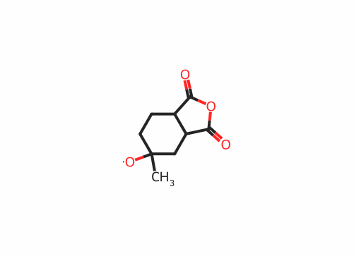 CC1([O])CCC2C(=O)OC(=O)C2C1